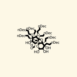 CCCCCCCCCCCCO[C@@]1(CCCCCCCCCCCC)[C@@](CCCCCCCCCCCC)(O[C@]2(CCCCCCCCCCCC)[C@@H](CO)O[C@@H](O)[C@H](O)[C@]2(O)CCCCCCCCCCCC)O[C@H](CO)[C@@H](O)[C@]1(CCCCCCCCCCCC)OCCCCCCCCCCCC